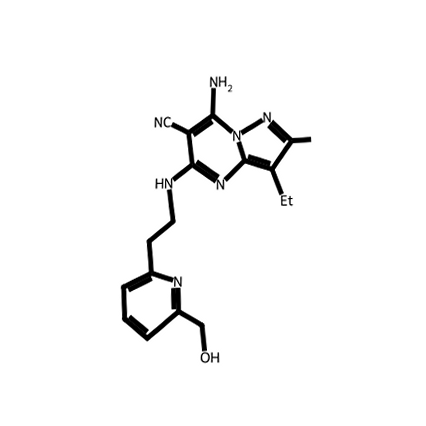 CCc1c(C)nn2c(N)c(C#N)c(NCCc3cccc(CO)n3)nc12